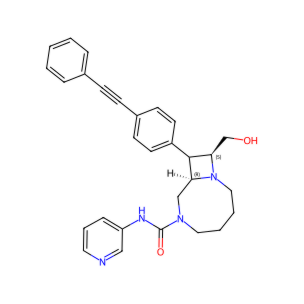 O=C(Nc1cccnc1)N1CCCCN2[C@H](CO)C(c3ccc(C#Cc4ccccc4)cc3)[C@@H]2C1